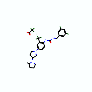 CC1CCCN1C1CCN(c2ccc(NC(=O)NCc3cc(Cl)cc(Cl)c3)c(C(F)(F)F)c2)C1.O=C(O)C(F)(F)F